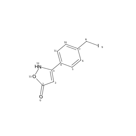 O=c1cc(-c2ccc(CI)cc2)[nH]o1